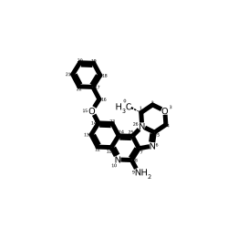 C[C@@H]1COCc2nc3c(N)nc4ccc(OCc5ccccc5)cc4c3n21